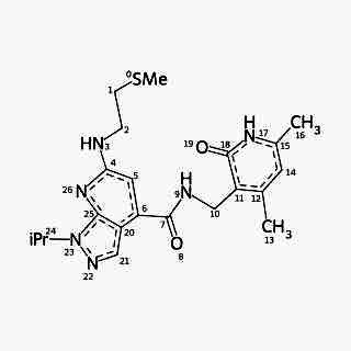 CSCCNc1cc(C(=O)NCc2c(C)cc(C)[nH]c2=O)c2cnn(C(C)C)c2n1